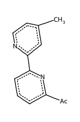 CC(=O)c1cccc(-c2cc(C)ccn2)n1